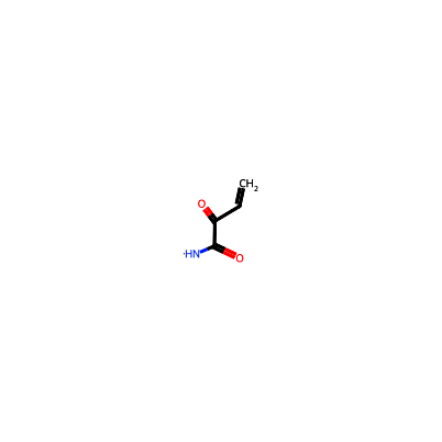 C=CC(=O)C([NH])=O